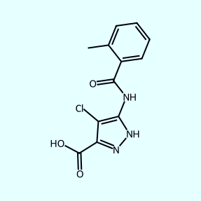 Cc1ccccc1C(=O)Nc1[nH]nc(C(=O)O)c1Cl